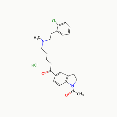 CC(=O)N1CCc2cc(C(=O)CCCCN(C)CCc3ccccc3Cl)ccc21.Cl